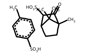 CC12CCC(C(S(=O)(=O)O)C1=O)C2(C)C.Cc1ccc(S(=O)(=O)O)cc1